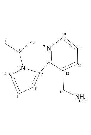 CC(C)n1nccc1-c1ncccc1CN